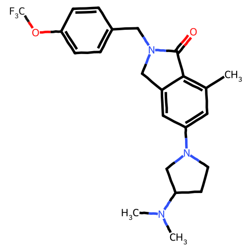 Cc1cc(N2CCC(N(C)C)C2)cc2c1C(=O)N(Cc1ccc(OC(F)(F)F)cc1)C2